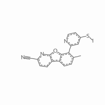 Cc1ccc2c(oc3nc(C#N)ccc32)c1-c1cc(SI)ccn1